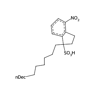 CCCCCCCCCCCCCCCCC1(S(=O)(=O)O)CCc2c([N+](=O)[O-])cccc21